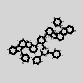 c1ccc(-c2nc(-c3ccccc3)nc(-c3cc(-c4cccc5c4sc4ccc6c7ccccc7n(-c7ccccc7)c6c45)ccc3-c3cccc4c3oc3ccc5c6ccccc6n(-c6ccccc6)c5c34)n2)cc1